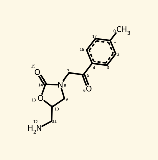 Cc1ccc(C(=O)CN2CC(CN)OC2=O)cc1